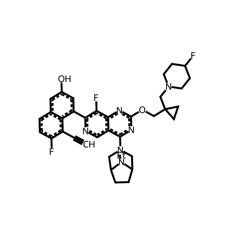 C#Cc1c(F)ccc2cc(O)cc(-c3ncc4c(N5CC6CCC(C5)N6CC)nc(OCC5(CN6CCC(F)CC6)CC5)nc4c3F)c12